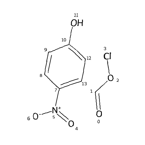 O=COCl.O=[N+]([O-])c1ccc(O)cc1